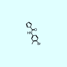 Cc1cc(NC(=O)C2C=CC=C2)ccc1Br